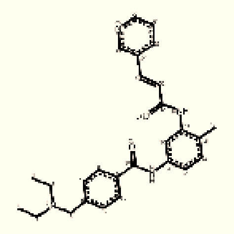 CCN(CC)Cc1ccc(C(=O)Nc2ccc(C)c(NC(=O)C=Cc3cccnc3)c2)cc1